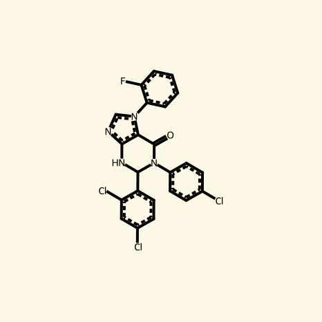 O=C1c2c(ncn2-c2ccccc2F)NC(c2ccc(Cl)cc2Cl)N1c1ccc(Cl)cc1